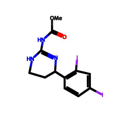 COC(=O)NC1=NC(c2ccc(I)cc2I)CCN1